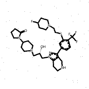 O=C1CCCN1C1CCN(C[C@H](O)Cn2nc(-c3ccc(C(F)(F)F)c(SCCN4CCC(F)CC4)c3)c3c2CCNC3)CC1